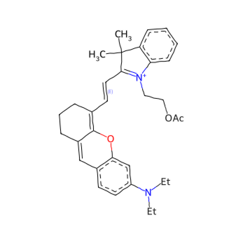 CCN(CC)c1ccc2c(c1)OC1=C(/C=C/C3=[N+](CCOC(C)=O)c4ccccc4C3(C)C)CCCC1=C2